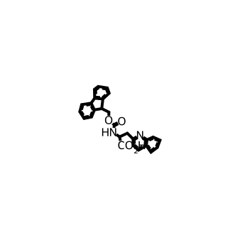 O=C(NC(Cc1ccc2ccccc2n1)C(=O)O)OCC1c2ccccc2-c2ccccc21